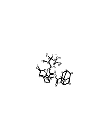 O=C1OC2C3CC(C2OC(=O)C24CC5CC(CC(C5)C2)C4)C(C(=O)OCC(F)C(F)(F)S(=O)(=O)O)C13